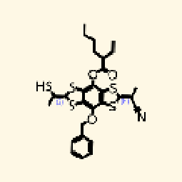 CCCCC(CC)C(=O)Oc1c2c(c(OCc3ccccc3)c3c1S/C(=C(\C)C#N)S3)S/C(=C(\C)S)S2